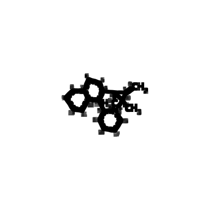 C=C1C2(C)c3ccc4ccccc4c3-c3cccc[n+]3C12C